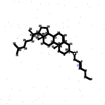 CCC/C=C/CO[C@H]1CC[C@@]2(C)C(=CCC3C2CC[C@@]2(C)C3CC[C@@H]2[C@H](C)CCCC(C)C)C1